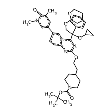 Cc1cc(-c2ccc3nc(OCCC4CCN(C(=O)OC(C)(C)C)CC4)nc(C(COC4CCCCO4)(OC4CC4)c4ccccc4)c3c2)cn(C)c1=O